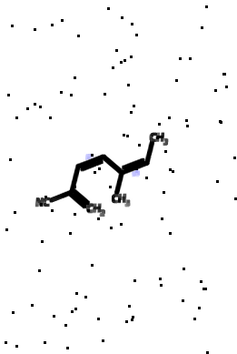 C=C(C#N)/C=C\C(C)=C/C